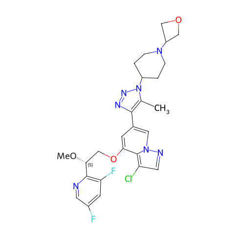 CO[C@H](COc1cc(-c2nnn(C3CCN(C4COC4)CC3)c2C)cn2ncc(Cl)c12)c1ncc(F)cc1F